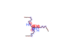 CCCCCCCC/C=C\C/C=C\C/C=C\C/C=C\CCC(=O)NCCCCC(CNC(=O)CC/C=C\C/C=C\C/C=C\C/C=C\CCCCCCCC)C(=O)N[C@@H](CCCCNC(=O)CC/C=C\C/C=C\C/C=C\C/C=C\CCCCCCCC)C(=O)O